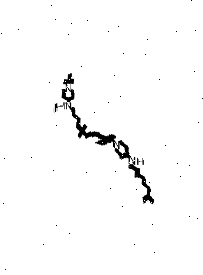 CC(C)CCCCCCNC1CCN(C(C)(C)CCC(C)(C)CCCCNC2CCN(C(C)(C)C)CC2)CC1